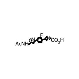 CC(=O)NCC1CC(c2ccc(C3CN(CC(=O)O)C3)c(F)c2)=NO1